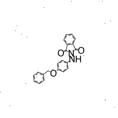 O=C1c2ccccc2C(=O)N1Nc1ccc(OCc2ccccc2)cc1